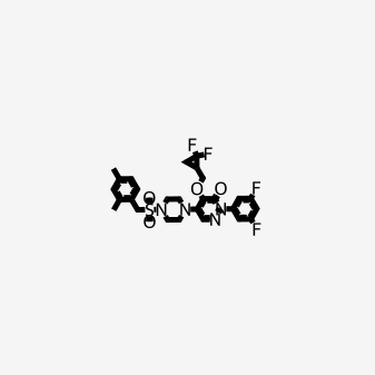 Cc1ccc(CS(=O)(=O)N2CCN(c3cnn(-c4cc(F)cc(F)c4)c(=O)c3OCC3CC3(F)F)CC2)c(C)c1